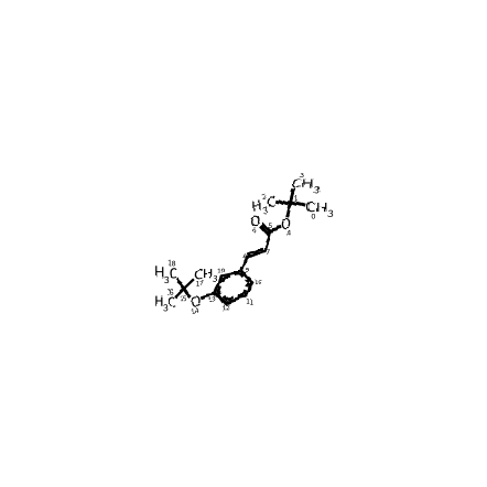 CC(C)(C)OC(=O)/C=C/c1cccc(OC(C)(C)C)c1